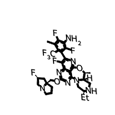 CC[C@@H]1CN2c3nc(OC[C@@]45CCCN4C[C@H](F)C5)nc4c(F)c(-c5c(F)c(N)c(F)c(C)c5C(F)(F)F)nc(c34)O[C@@H](C)[C@@H]2CN1